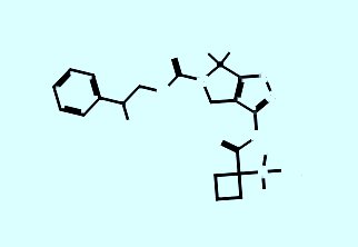 CC1(C)c2[nH]nc(NC(=O)C3(S(C)(C)C)CCC3)c2CN1C(=O)OCC(O)c1ccccc1